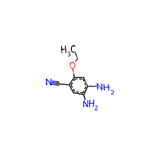 CCOc1cc(N)c(N)cc1C#N